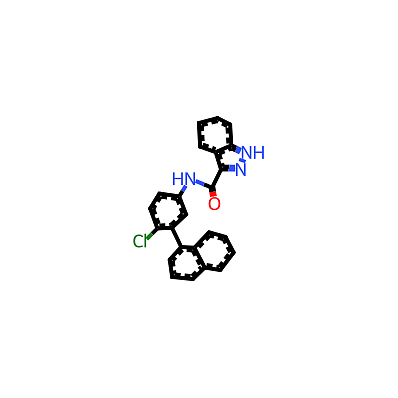 O=C(Nc1ccc(Cl)c(-c2cccc3ccccc23)c1)c1n[nH]c2ccccc12